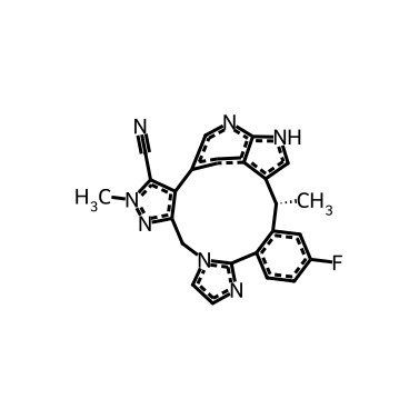 C[C@@H]1c2cc(F)ccc2-c2nccn2Cc2nn(C)c(C#N)c2-c2cnc3[nH]cc1c3c2